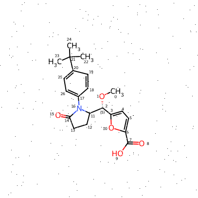 CO[C@H](c1ccc(C(=O)O)o1)C1CCC(=O)N1c1ccc(C(C)(C)C)cc1